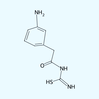 N=C(S)NC(=O)Cc1cccc(N)c1